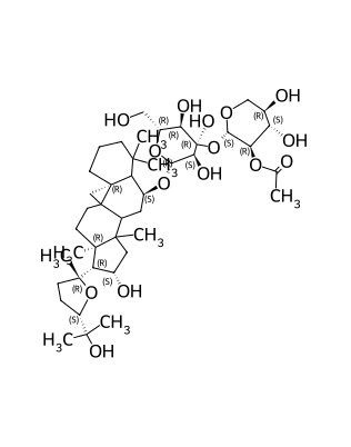 CC(=O)O[C@H]1[C@H](O[C@]2(O)[C@H](O)[C@@H](CO)O[C@@H](O[C@H]3CC4C5(CC[C@]6(C)[C@@H]([C@@]7(C)CC[C@@H](C(C)(C)O)O7)[C@@H](O)CC46C)C[C@@]54CCCC(C)(C)C34)[C@@H]2O)OC[C@@H](O)[C@@H]1O